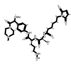 COC(C(=O)N1CCN(C)CC1)c1ccc(NC(=O)[C@H](CCCNO)NC(=O)[C@@H](NC(=O)CCCCCN2C(=O)C=CC2=O)C(C)C)cc1